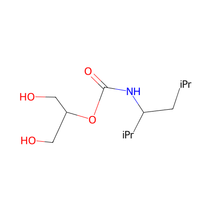 CC(C)CC(NC(=O)OC(CO)CO)C(C)C